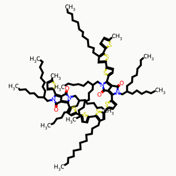 CCCCCCCCCCCCc1cc(-c2ccc(C3=C4C(=O)N(CC(CCCCCC)CCCCCCCC)C(c5ccc(-c6cc(CCCCCCCCCCCC)c(-c7ccc(-c8ccc(C9=C%10C(=O)N(CC(CCCCCC)CCCCCCCC)C(c%11ccc(C)s%11)=C%10C(=O)N9CC(CCCCCC)CCCCCCCC)s8)s7)s6)s5)=C4C(=O)N3CC(CCCCCC)CCCCCCCC)s2)sc1-c1ccc(C)s1